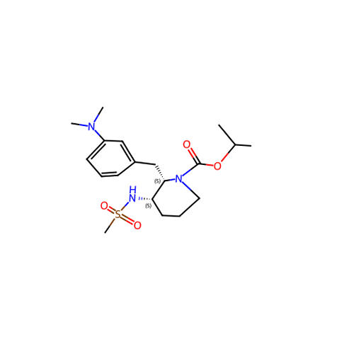 CC(C)OC(=O)N1CCC[C@H](NS(C)(=O)=O)[C@@H]1Cc1cccc(N(C)C)c1